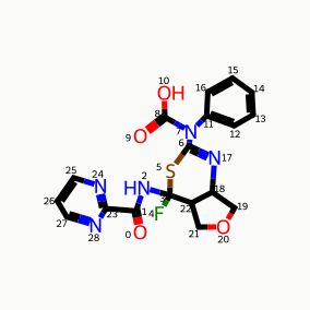 O=C(NC1(F)SC(N(C(=O)O)c2ccccc2)=NC2COCC21)c1ncccn1